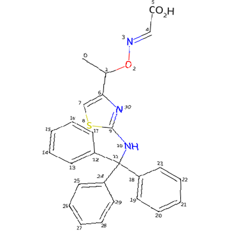 CC(ON=CC(=O)O)c1csc(NC(c2ccccc2)(c2ccccc2)c2ccccc2)n1